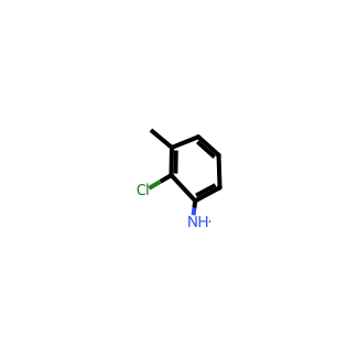 Cc1cccc([NH])c1Cl